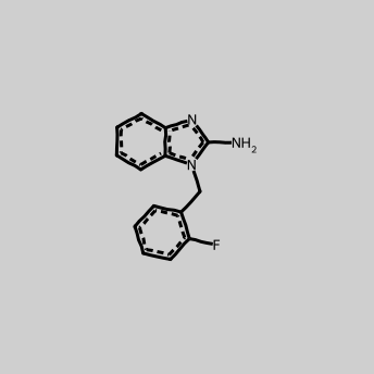 Nc1nc2ccccc2n1Cc1ccccc1F